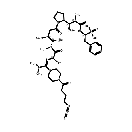 CC[C@H](C)[C@@H]([C@H](CC(=O)N1CCCC1[C@H](OC)[C@@H](C)C(=O)N[C@H](Cc1ccccc1)P(=O)(O)O)OC)N(C)C(=O)[C@H](/N=C(/N(C)C)N1CCN(C(=O)CCCN=[N+]=[N-])CC1)C(C)C